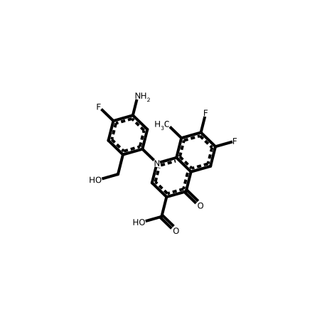 Cc1c(F)c(F)cc2c(=O)c(C(=O)O)cn(-c3cc(N)c(F)cc3CO)c12